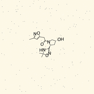 Cc1cc(CC(=O)N2C[C@H](O)C[C@H]2C2=NOC(C)(C)N2)on1